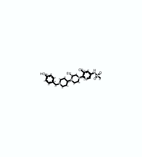 CC[C@H]1CN(c2ncc(NS(C)(=O)=O)cc2Cl)CCN1C1CCN(Cc2ccc(O)cc2)CC1